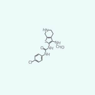 O=CNc1c(NC(=O)Nc2ccc(Cl)cc2)sc2c1CCNC2